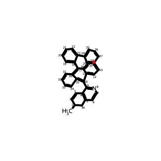 CC1C=Cc2c(ccnc2-c2c3ccccc3c(-c3ccccc3-c3ccccc3)c3ccccc23)C1